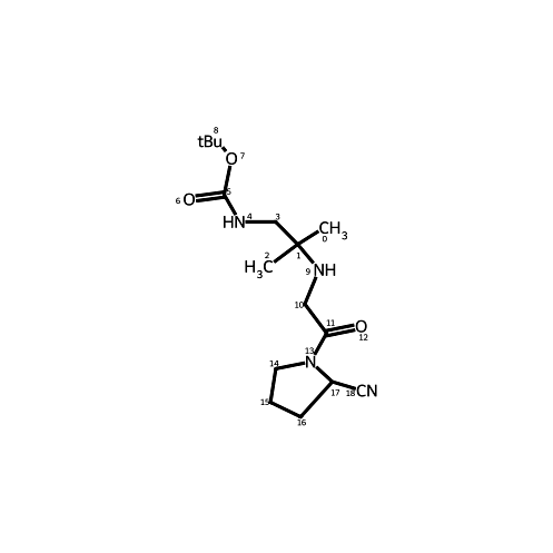 CC(C)(CNC(=O)OC(C)(C)C)NCC(=O)N1CCCC1C#N